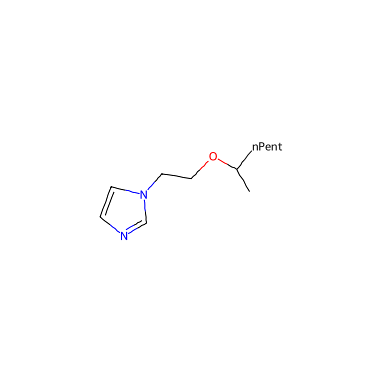 CCCCCC(C)OCCn1ccnc1